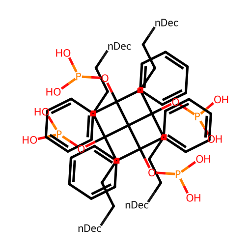 CCCCCCCCCCCCCC(CCCCCCCCCCCCC)(OP(O)O)C(C(CCCCCCCCCCCCC)(CCCCCCCCCCCCC)OP(O)O)(C(OP(O)O)(c1ccccc1)c1ccccc1)C(OP(O)O)(c1ccccc1)c1ccccc1